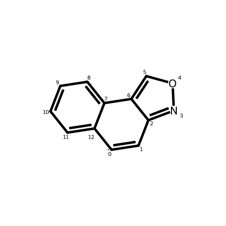 [c]1cc2nocc2c2ccccc12